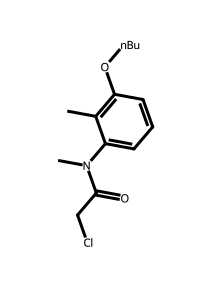 CCCCOc1cccc(N(C)C(=O)CCl)c1C